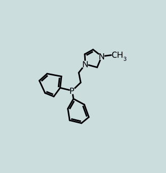 CN1C=CN(CCP(c2ccccc2)c2ccccc2)C1